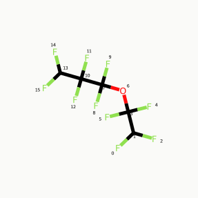 FC(F)C(F)(F)OC(F)(F)C(F)(F)C(F)F